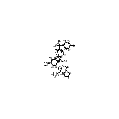 NC(=O)[C@@H]1CCCN1CCCn1c(CN2C(=O)C3(CC3)c3ccc(F)cc32)nc2cc(Cl)ccc21